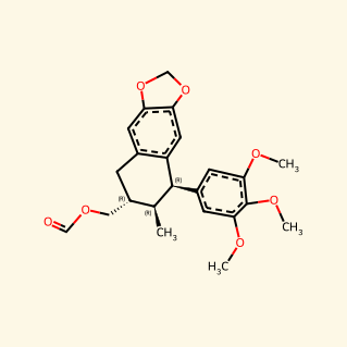 COc1cc([C@@H]2c3cc4c(cc3C[C@@H](COC=O)[C@@H]2C)OCO4)cc(OC)c1OC